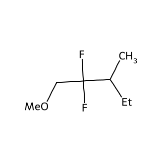 CCC(C)C(F)(F)COC